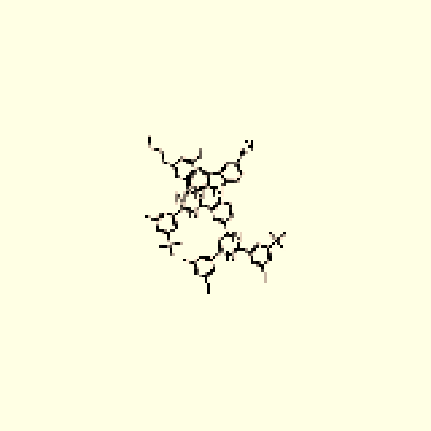 CCCCc1cc(I)cc(-c2nc(-c3cc(C)cc(C(C)(C)C)c3)nc(-c3cc(-c4cc(-c5cc(C)cc(I)c5)nc(-c5cc(I)cc(C(C)(C)C)c5)n4)ccc3-n3c4ccccc4c4cc(C#N)ccc43)n2)c1